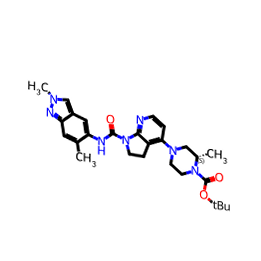 Cc1cc2nn(C)cc2cc1NC(=O)N1CCc2c(N3CCN(C(=O)OC(C)(C)C)[C@@H](C)C3)ccnc21